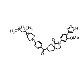 COc1cc(N2CCC3(CCN(C(=O)c4ccc(N5CCN(C(C)CN(C)C)CC5)cc4)CC3)C2=O)ccc1-c1cn[nH]c1